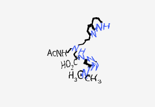 CC(=O)NCCN(CCCCc1ccc2c(n1)NCCC2)CC[C@H](Nc1cc(N(C)C)ncn1)C(=O)O